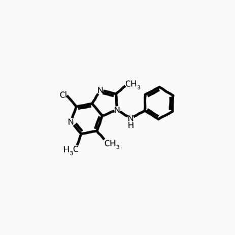 Cc1nc(Cl)c2nc(C)n(Nc3ccccc3)c2c1C